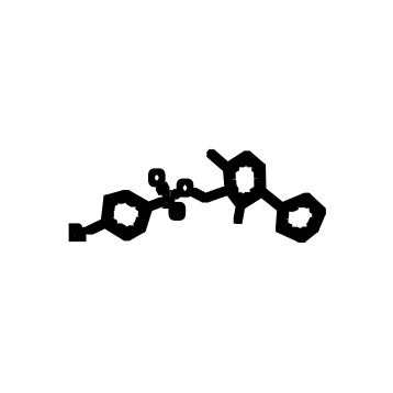 Cc1ccc(-c2ccccc2)c(C)c1COS(=O)(=O)c1ccc(Br)cc1